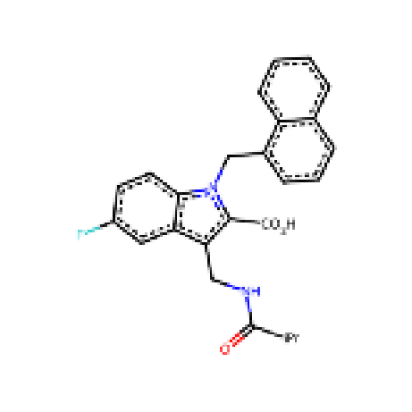 CC(C)C(=O)NCc1c(C(=O)O)n(Cc2cccc3ccccc23)c2ccc(F)cc12